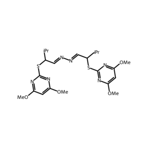 COc1cc(OC)nc(SC(C=NN=CC(Sc2nc(OC)cc(OC)n2)C(C)C)C(C)C)n1